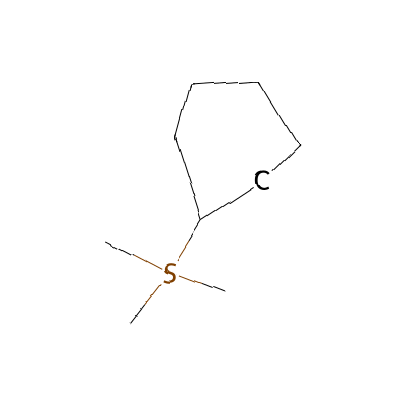 CS(C)(C)C1CCCCC1